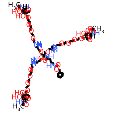 CC(=O)N[C@H]1[C@H]2OC[C@](COCCOCCOCCOCCn3cc(COCC(COCc4cn(CCOCCOCCOCCOC[C@@]56CO[C@@H](O5)[C@H](NC(C)=O)[C@@H](O)[C@H]6O)nn4)(COCc4cn(CCOCCOCCOCCOC[C@@]56CO[C@@H](O5)[C@H](NC(C)=O)[C@@H](O)[C@H]6O)nn4)NC(=O)CCCNC(=O)OCc4ccccc4)nn3)(O2)[C@H](O)[C@@H]1O